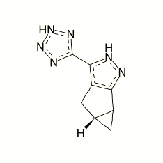 C1c2c(n[nH]c2-c2nn[nH]n2)C2C[C@H]12